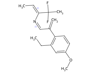 C=C(/C=N\C(=C/C)C(C)(F)F)c1ccc(OC)cc1CC